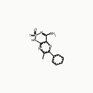 Cc1nc2c(nc1-c1ccccc1)C(N)=NS(=O)(=O)N2